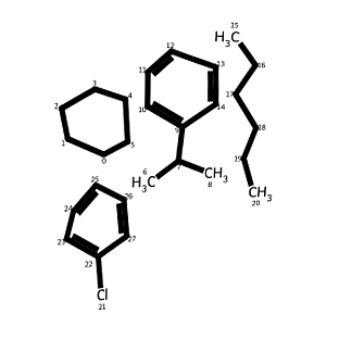 C1CCCCC1.CC(C)c1ccccc1.CCCCCC.Clc1ccccc1